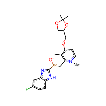 Cc1c(OCC2COC(C)(C)O2)ccnc1C[S+]([O-])c1nc2cc(F)ccc2[nH]1.[Na]